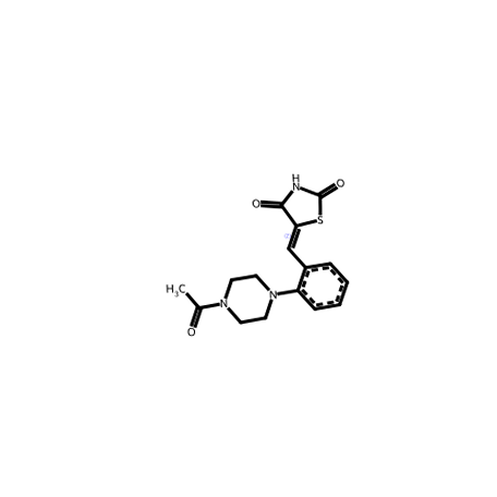 CC(=O)N1CCN(c2ccccc2/C=C2\SC(=O)NC2=O)CC1